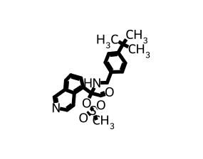 CC(C)(C)c1ccc(CNC(C=O)(OS(C)(=O)=O)c2cccc3cnccc23)cc1